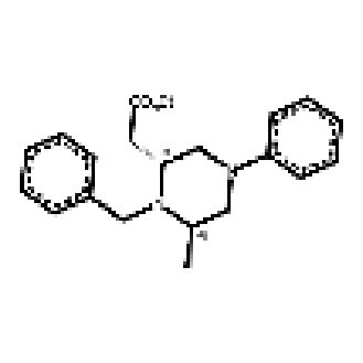 CCOC(=O)C[C@@H]1CN(c2ccccc2)C[C@@H](C)N1Cc1ccccc1